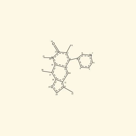 Cc1c(-c2cccnc2)c2cc3c(C)coc3c(C)c2n(C)c1=O